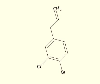 C=CCc1ccc(Br)c(Cl)c1